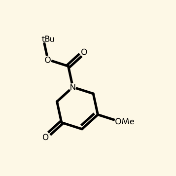 COC1=CC(=O)CN(C(=O)OC(C)(C)C)C1